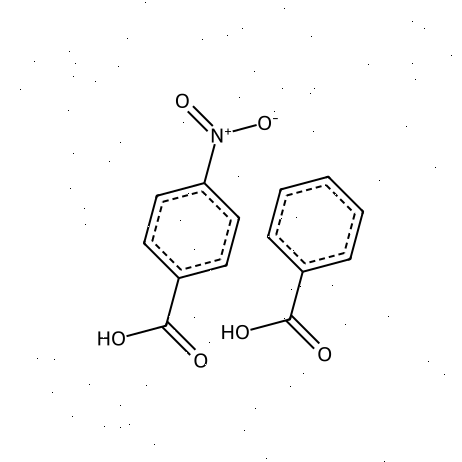 O=C(O)c1ccc([N+](=O)[O-])cc1.O=C(O)c1ccccc1